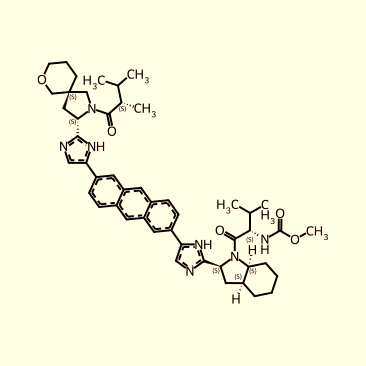 COC(=O)N[C@H](C(=O)N1[C@H](c2ncc(-c3ccc4cc5cc(-c6cnc([C@@H]7C[C@@]8(CCCOC8)CN7C(=O)[C@@H](C)C(C)C)[nH]6)ccc5cc4c3)[nH]2)C[C@@H]2CCCC[C@@H]21)C(C)C